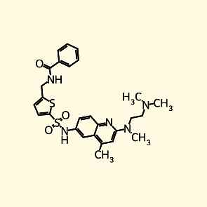 Cc1cc(N(C)CCN(C)C)nc2ccc(NS(=O)(=O)c3ccc(CNC(=O)c4ccccc4)s3)cc12